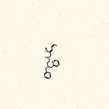 C=N/C(=C\C=C/C)CNCCN(Cc1ccccn1)Cc1ccccn1